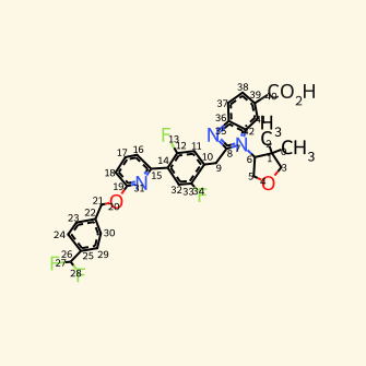 CC1(C)COCC1n1c(Cc2cc(F)c(-c3cccc(OCc4ccc(C(F)F)cc4)n3)cc2F)nc2ccc(C(=O)O)cc21